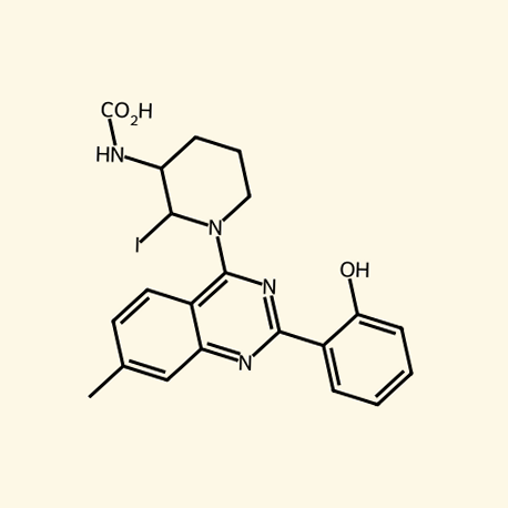 Cc1ccc2c(N3CCCC(NC(=O)O)C3I)nc(-c3ccccc3O)nc2c1